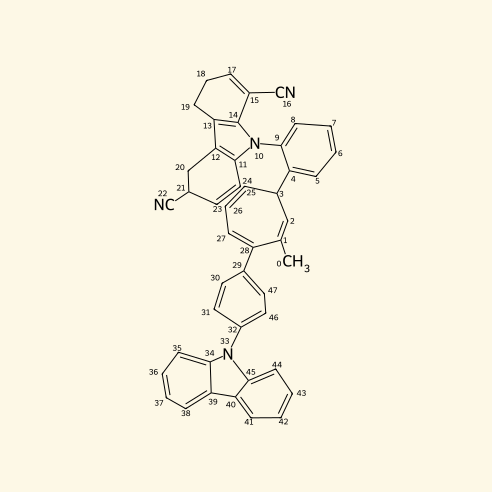 CC1=CC(c2ccccc2-n2c3c(c4c2C(C#N)=CCC4)CC(C#N)C=C3)C=CC=C1c1ccc(-n2c3ccccc3c3ccccc32)cc1